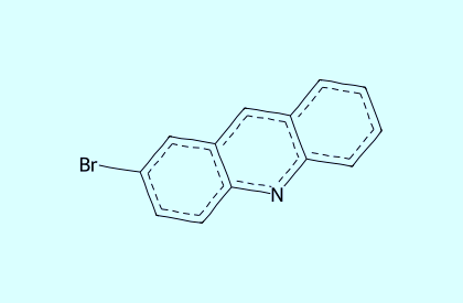 Brc1ccc2nc3ccccc3cc2c1